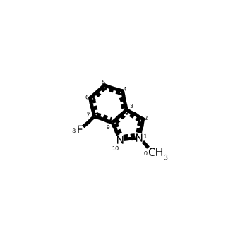 Cn1cc2cccc(F)c2n1